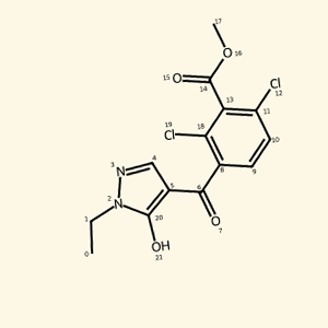 CCn1ncc(C(=O)c2ccc(Cl)c(C(=O)OC)c2Cl)c1O